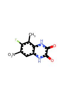 Cc1c(F)c([N+](=O)[O-])cc2[nH]c(=O)c(=O)[nH]c12